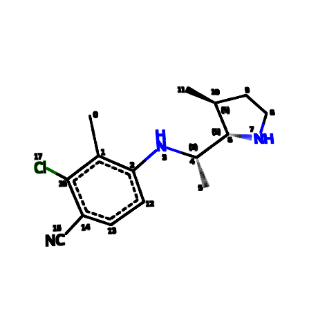 Cc1c(N[C@@H](C)[C@H]2NCC[C@@H]2C)ccc(C#N)c1Cl